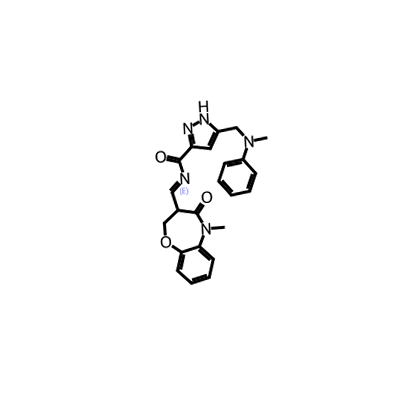 CN(Cc1cc(C(=O)/N=C/C2COc3ccccc3N(C)C2=O)n[nH]1)c1ccccc1